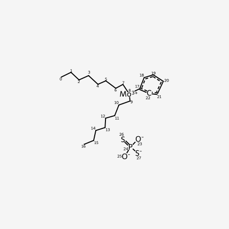 CCCCCCC[CH2][Mo+3]([CH2]CCCCCCC)[c]1ccccc1.[O-]P([O-])(=S)[S-]